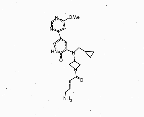 COc1cc(-c2c[nH]c(=O)c(N(CC3CC3)C3CN(C(=O)C=CCN)C3)c2)ncn1